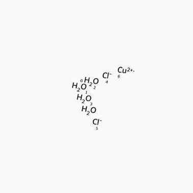 O.O.O.O.[Cl-].[Cl-].[Cu+2]